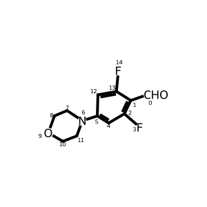 O=Cc1c(F)cc(N2CCOCC2)cc1F